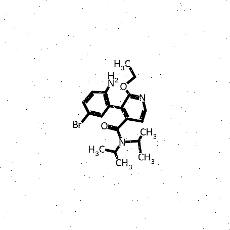 CCOc1nccc(C(=O)N(C(C)C)C(C)C)c1-c1cc(Br)ccc1N